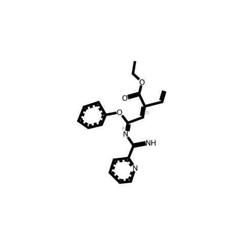 C=C/C(=C/C(=N\C(=N)c1ccccn1)Oc1ccccc1)C(=O)OCC